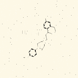 COc1ccc(N2CCN(CCC3OCCc4cc(C)ccc43)CC2)cc1.Cl.Cl